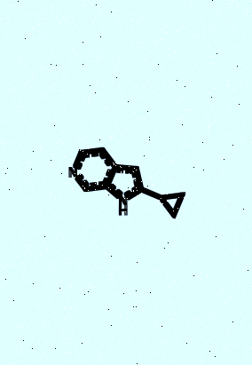 c1cc2cc(C3CC3)[nH]c2cn1